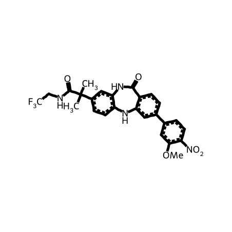 COc1cc(-c2ccc3c(c2)Nc2ccc(C(C)(C)C(=O)NCC(F)(F)F)cc2NC3=O)ccc1[N+](=O)[O-]